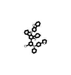 Clc1cc(-c2cc3c4ccccc4n(-c4ccc5c(c4)oc4ccccc45)c3c3c2sc2ccccc23)cc(N(c2ccccc2)c2ccc(-c3ccccc3)cc2)c1